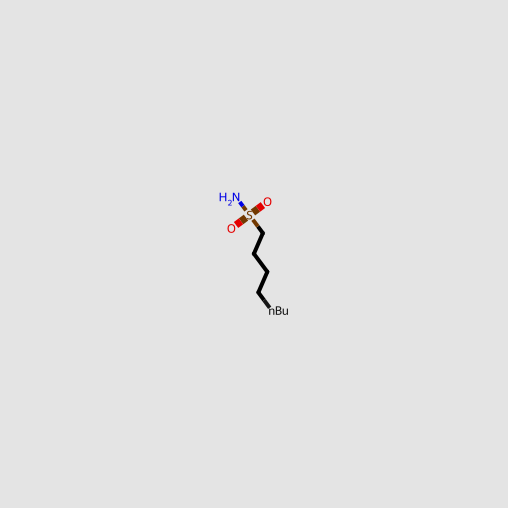 CCCCCCCCS(N)(=O)=O